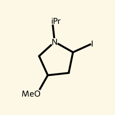 COC1CC(I)N(C(C)C)C1